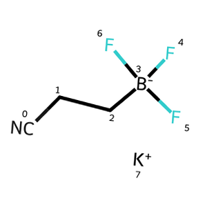 N#CCC[B-](F)(F)F.[K+]